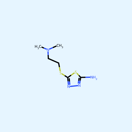 CN(C)CCSc1nnc(N)s1